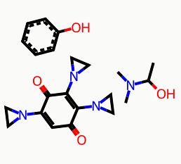 CC(O)N(C)C.O=C1C=C(N2CC2)C(=O)C(N2CC2)=C1N1CC1.Oc1ccccc1